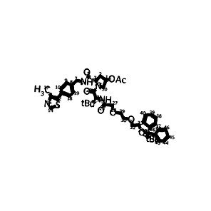 CC(=O)O[C@@H]1C[C@@H](C(=O)NCc2ccc(-c3scnc3C)cc2)N(C(=O)[C@@H](NC(=O)COCCOCCO[Si](c2ccccc2)(c2ccccc2)C(C)(C)C)C(C)(C)C)C1